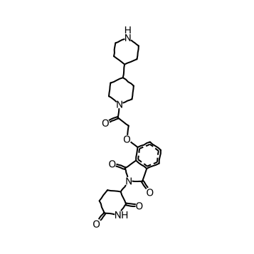 O=C1CCC(N2C(=O)c3cccc(OCC(=O)N4CCC(C5CCNCC5)CC4)c3C2=O)C(=O)N1